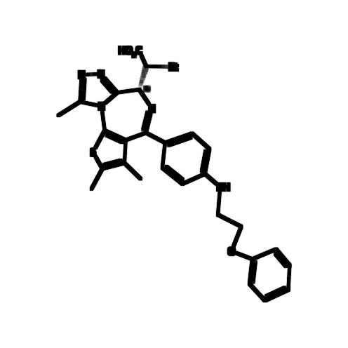 CCC(C(=O)O)[C@@H]1N=C(c2ccc(NCCOc3ccccc3)cc2)c2c(sc(C)c2C)-n2c(C)nnc21